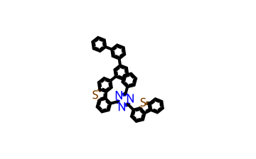 c1ccc(-c2cccc(-c3cccc(-c4ccc5sc6cccc(-c7nc(-c8ccccc8)nc(-c8cccc9c8sc8ccccc89)n7)c6c5c4)c3)c2)cc1